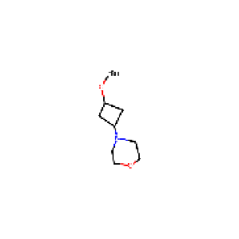 CC(C)(C)OC1CC(N2CCOCC2)C1